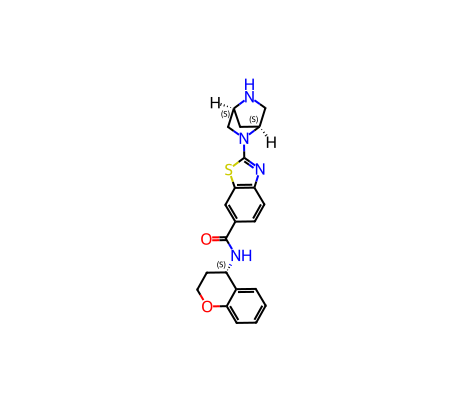 O=C(N[C@H]1CCOc2ccccc21)c1ccc2nc(N3C[C@@H]4C[C@H]3CN4)sc2c1